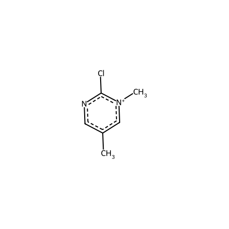 Cc1cnc(Cl)[n+](C)c1